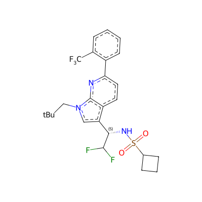 CC(C)(C)Cn1cc([C@H](NS(=O)(=O)C2CCC2)C(F)F)c2ccc(-c3ccccc3C(F)(F)F)nc21